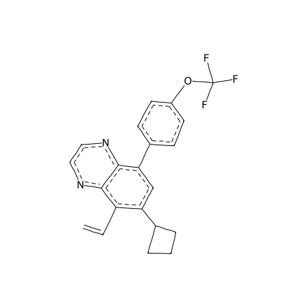 C=Cc1c(C2CCC2)cc(-c2ccc(OC(F)(F)F)cc2)c2nccnc12